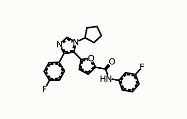 O=C(Nc1cccc(F)c1)c1ccc(-c2c(-c3ccc(F)cc3)ncn2C2CCCC2)o1